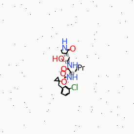 CC(C)C[C@H](NC(=O)OC1(Cc2cccc(Cl)c2)CC1)C(=O)N[C@H](CO)C[C@@H]1CCNC1=O